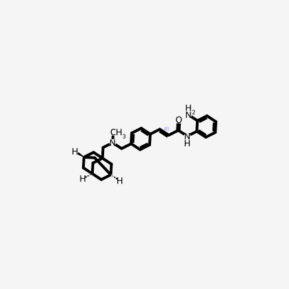 CN(Cc1ccc(/C=C/C(=O)Nc2ccccc2N)cc1)CC12C[C@H]3C[C@H](C1)C[C@@H](C2)C3